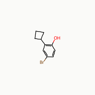 Oc1ccc(Br)cc1C1CCC1